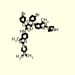 Cc1nc(N2CCC(N(C)C)CC2)nc2ccc(NC(=O)C(Oc3ccc(Br)cc3)C(Oc3ccc(Br)cc3)C(=O)Nc3ccc4nc(N5CC6CC5CN6)nc(C)c4c3)cc12